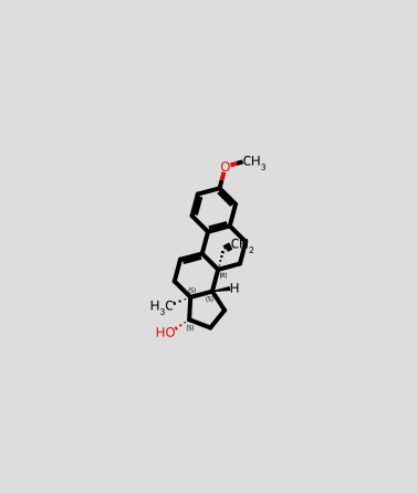 C=C[C@@]12CCc3cc(OC)ccc3C1=CC[C@@]1(C)[C@H]2CC[C@@H]1O